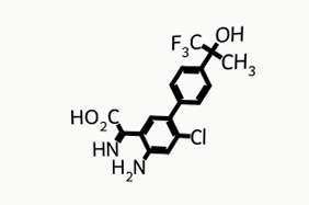 CC(O)(c1ccc(-c2cc(C(=N)C(=O)O)c(N)cc2Cl)cc1)C(F)(F)F